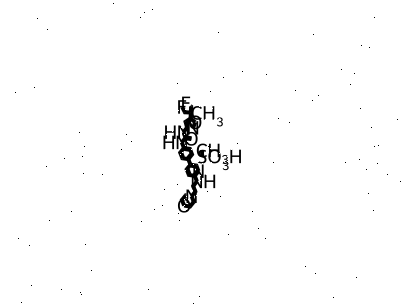 CC(CF)(CF)c1cc(NC(=O)Nc2ccc(-c3ccc(NCCN4CCOCC4)nc3)cc2)no1.CS(=O)(=O)O